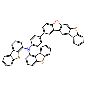 c1ccc2c(c1)sc1cc3oc4ccc(-c5ccc(N(c6cccc7c6sc6ccccc67)c6cccc7sc8ccccc8c67)cc5)cc4c3cc12